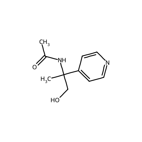 CC(=O)NC(C)(CO)c1ccncc1